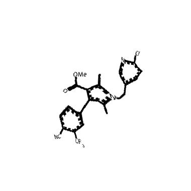 COC(=O)c1c(-c2ccc(C#N)c(C(F)(F)F)c2)c(C)n(Cc2ccc(Cl)nc2)c1C